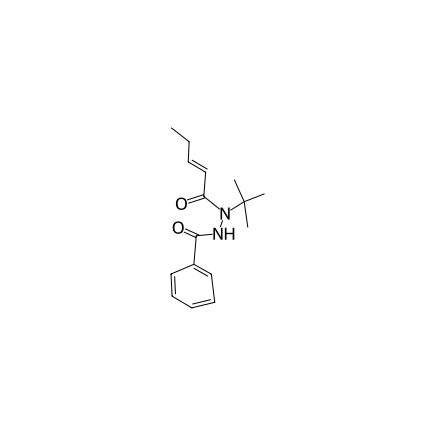 CCC=CC(=O)N(NC(=O)c1ccccc1)C(C)(C)C